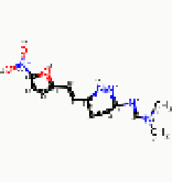 CN(C)C=Nc1ccc(C=Cc2ccc([N+](=O)[O-])o2)nn1